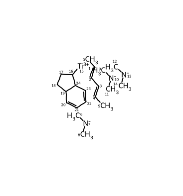 CC=CC=CC.C[N-]C.C[N-]C.C[N-]C.[Ti+3][CH]1CCC2C=CC=CC12